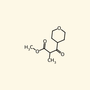 COC(=O)C(C)C(=O)C1CCOCC1